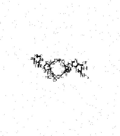 Nc1nc2c(ncn2[C@@H]2O[C@@H]3COP(=O)(O)O[C@H]4C[C@H](Nc5ncncn5)C[C@@H]4COPO[C@@H]2[C@@H]3O)c(=O)[nH]1